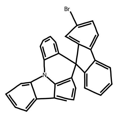 Brc1ccc2c(c1)C1(c3ccccc3-2)c2ccccc2-n2c3ccccc3c3cccc1c32